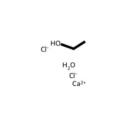 CCO.O.[Ca+2].[Cl-].[Cl-]